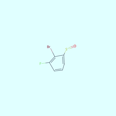 O=[S+]c1cccc(F)c1Br